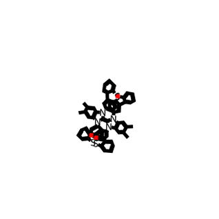 Cc1cc2c(cc1C)N(c1ccc3sc4ccccc4c3c1)C(=C1N(c3ccc4sc5ccccc5c4c3)c3cc(C)c(C)cc3N1c1ccc3sc4ccccc4c3c1)N2c1ccc2sc3ccccc3c2c1